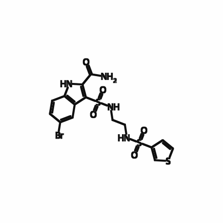 NC(=O)c1[nH]c2ccc(Br)cc2c1S(=O)(=O)NCCNS(=O)(=O)c1ccsc1